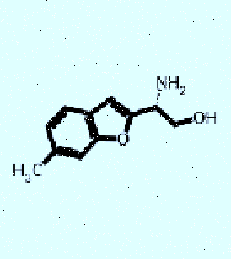 Cc1ccc2cc([C@H](N)CO)oc2c1